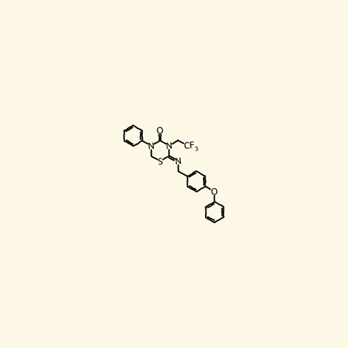 O=C1N(CC(F)(F)F)C(=NCc2ccc(Oc3ccccc3)cc2)SCN1c1ccccc1